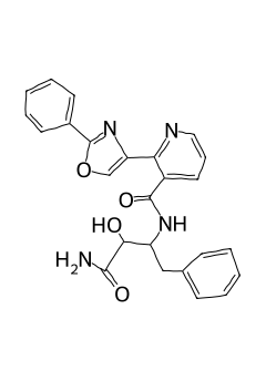 NC(=O)C(O)C(Cc1ccccc1)NC(=O)c1cccnc1-c1coc(-c2ccccc2)n1